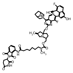 C#Cc1c(F)ccc2cc(O)cc(-c3ncc4c(N5CC6CCC(C5)N6)nc(OCC56CCC(COC(=O)N(C)CCCCCCC(=O)Nc7cccc8c7C(=O)N(C7CCC(=O)NC7=O)C8=O)N5CC(=C)C6)nc4c3F)c12